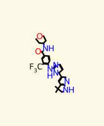 CC1(C)CNc2ncc(-c3ccnc(Nc4ccc(C(=O)NC5CCOCC5)cc4C(F)(F)F)n3)cc21